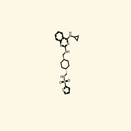 O=S(=O)(NC[C@H]1CC[C@H](CNc2nc(NC3CC3)c3ccccc3n2)CC1)c1cccs1